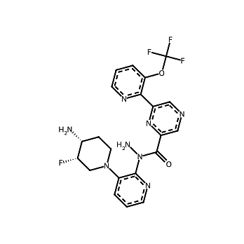 N[C@@H]1CCN(c2cccnc2N(N)C(=O)c2cncc(-c3ncccc3OC(F)(F)F)n2)C[C@@H]1F